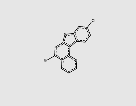 Clc1ccc2c(c1)sc1cc(Br)c3ccccc3c12